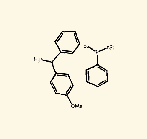 CCCP(CC)c1ccccc1.COc1ccc(C(P)c2ccccc2)cc1